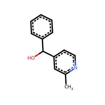 Cc1cc(C(O)c2ccccc2)ccn1